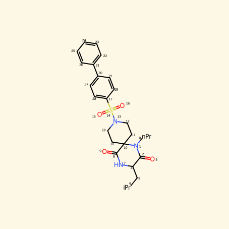 CCCN1C(=O)C(CC(C)C)NC(=O)C12CCN(S(=O)(=O)c1ccc(-c3ccccc3)cc1)CC2